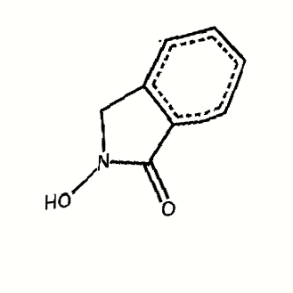 O=C1c2ccc[c]c2CN1O